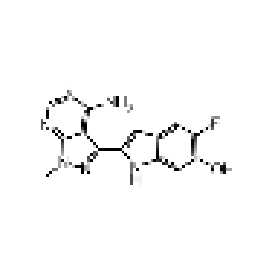 Cn1nc(-c2cc3cc(F)c(O)cc3[nH]2)c2c(N)ncnc21